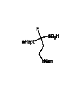 CCCCCCCCCCCC(F)(CCCCCCC)S(=O)(=O)O